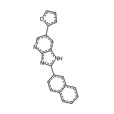 c1coc(-c2cnc3nc(-c4ccc5ccccc5c4)[nH]c3c2)c1